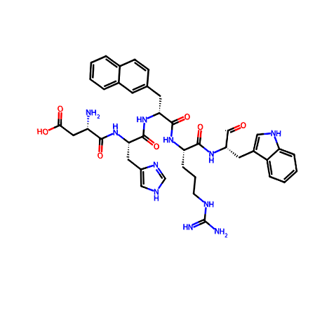 N=C(N)NCCC[C@H](NC(=O)[C@@H](Cc1ccc2ccccc2c1)NC(=O)[C@H](Cc1c[nH]cn1)NC(=O)[C@@H](N)CC(=O)O)C(=O)N[C@H]([C]=O)Cc1c[nH]c2ccccc12